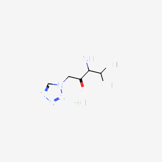 CC(C)C(N)C(=O)Cn1cnnn1.Cl